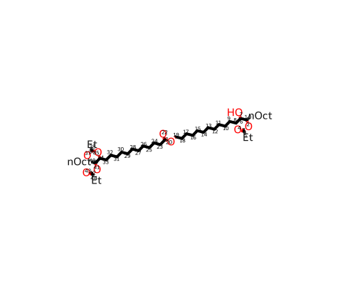 CCCCCCCCC(OC(=O)CC)C(O)CCCCCCCCCCCCOC(=O)CCCCCCCCCCCC(OC(=O)CC)C(CCCCCCCC)OC(=O)CC